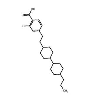 CCCC1CCC(C2CCC(CCc3ccc(C(=O)O)c(F)c3)CC2)CC1